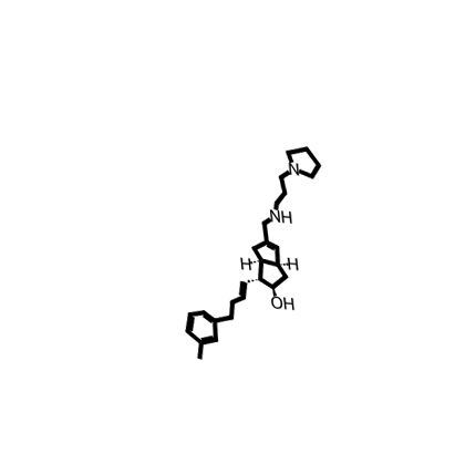 Cc1cccc(CC/C=C/[C@@H]2[C@H]3CC(CNCCCN4CCCC4)=C[C@H]3C[C@H]2O)c1